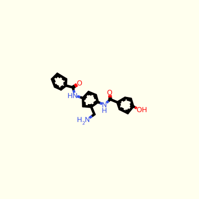 NCc1cc(NC(=O)c2ccccc2)ccc1NC(=O)c1ccc(O)cc1